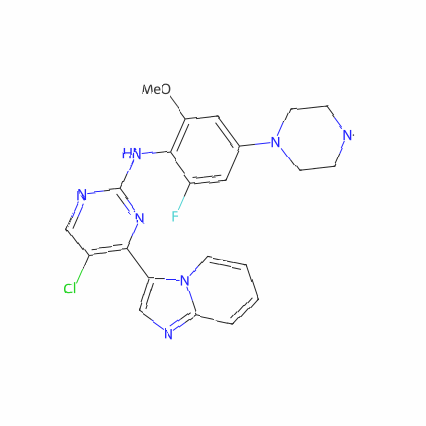 COc1cc(N2CC[N]CC2)cc(F)c1Nc1ncc(Cl)c(-c2cnc3ccccn23)n1